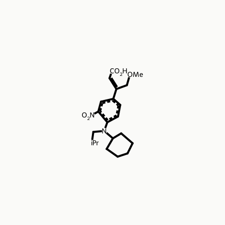 COCC(=CC(=O)O)c1ccc(N(CC(C)C)C2CCCCC2)c([N+](=O)[O-])c1